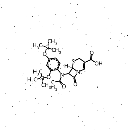 CC(=O)N(c1ccc(O[Si](C)(C)C)cc1O[Si](C)(C)C)C1C(=O)N2C=C(C(=O)O)CS[C@H]12